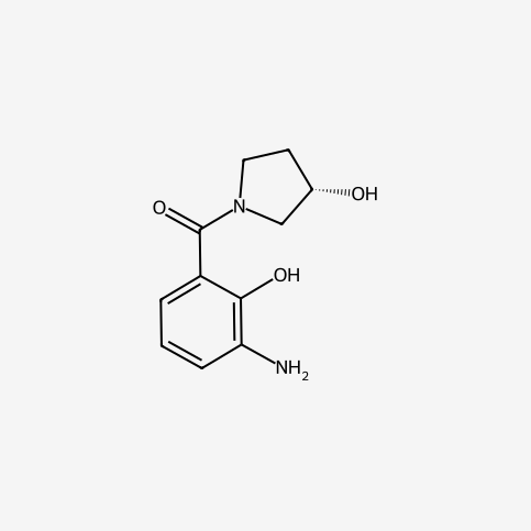 Nc1cccc(C(=O)N2CC[C@H](O)C2)c1O